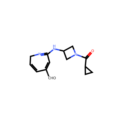 O=CC1=CC(NC2CN(C(=O)C3CC3)C2)=NCC=C1